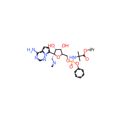 C=NC[C@@]1(c2ccc3c(N)ncnn23)OC(COP(=O)(NC(C)(C)C(=O)OC(C)C)Oc2ccccc2)[C@@H](O)[C@H]1O